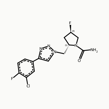 NC(=O)N1C[C@H](F)C[C@H]1Cn1cc(-c2ccc(F)c(Cl)c2)nn1